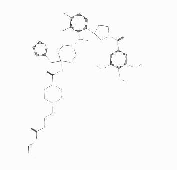 CCOC(=O)CCCN1CCN(C(=O)NC2(Cc3cccs3)CCN(CC[C@]3(c4ccc(Cl)c(Cl)c4)CCN(C(=O)c4cc(OC)c(OC)c(OC)c4)C3)CC2)CC1